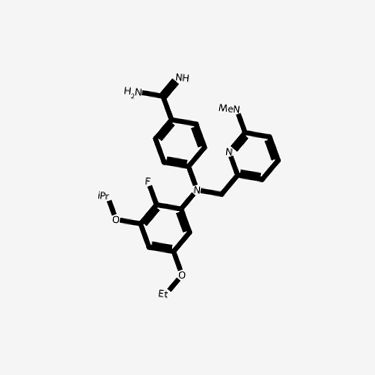 CCOc1cc(OC(C)C)c(F)c(N(Cc2cccc(NC)n2)c2ccc(C(=N)N)cc2)c1